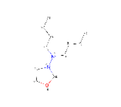 CCCCN(CCCC)N1CCOC1